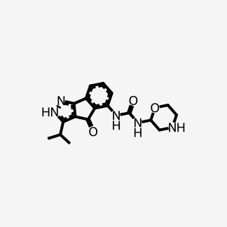 CC(C)c1[nH]nc2c1C(=O)c1c(NC(=O)NC3CNCCO3)cccc1-2